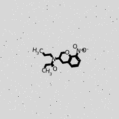 CCCN(C(=O)CC)C1COc2c(cccc2[N+](=O)[O-])C1